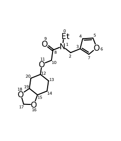 CCN(Cc1ccoc1)C(=O)COC1CCC2OCOC2C1